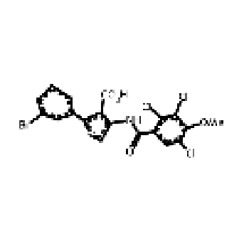 COc1c(Cl)cc(C(=O)Nc2csc(-c3cccc(Br)c3)c2C(=O)O)c(Cl)c1Cl